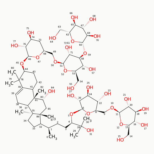 C[C@H](CC[C@@H](O[C@@H]1O[C@H](CO[C@@H]2O[C@H](CO)[C@@H](O)[C@H](O)[C@H]2O)[C@@H](O)[C@H](O)[C@H]1O)C(C)(C)O)C1CC[C@@]2(C)C3CC=C4C(CC[C@H](O[C@@H]5O[C@H](CO[C@@H]6O[C@H](CO)[C@@H](O)[C@H](O[C@@H]7O[C@H](CO)[C@@H](O)[C@H](O)[C@H]7O)[C@H]6O)C[C@H](O)[C@H]5O)C4(C)C)[C@]3(C)[C@H](O)C[C@]12C